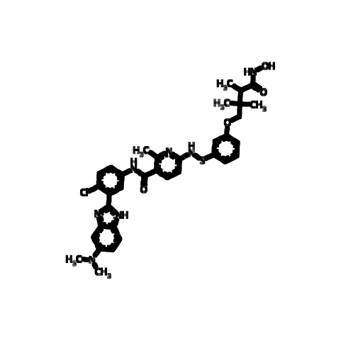 Cc1nc(NSc2cccc(OCC(C)(C)C(C)C(=O)NO)c2)ccc1C(=O)Nc1ccc(Cl)c(-c2nc3cc(N(C)C)ccc3[nH]2)c1